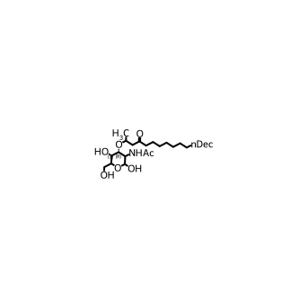 CCCCCCCCCCCCCCCCCC(=O)CC(C)O[C@@H]1C(NC(C)=O)C(O)OC(CO)[C@H]1O